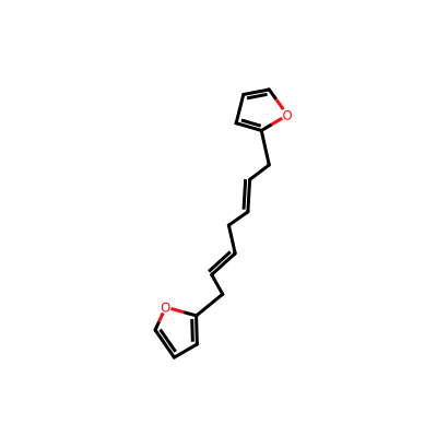 C(=CCc1ccco1)CC=CCc1ccco1